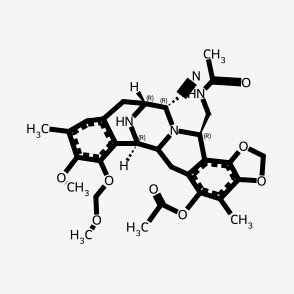 COCOc1c(OC)c(C)cc2c1[C@H]1N[C@H](C2)[C@H](C#N)N2C1Cc1c(OC(C)=O)c(C)c3c(c1[C@@H]2CNC(C)=O)OCO3